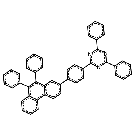 c1ccc(-c2nc(-c3ccccc3)nc(-c3ccc(-c4ccc5c(c4)c(-c4ccccc4)c(-c4ccccc4)c4ccccc45)cc3)n2)cc1